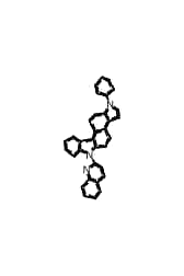 c1ccc(-n2ccc3c4ccc5c(c4ccc32)c2ccccc2n5-c2ccc3ccccc3n2)cc1